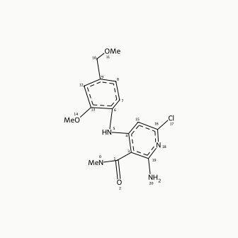 CNC(=O)c1c(Nc2ccc(COC)cc2OC)cc(Cl)nc1N